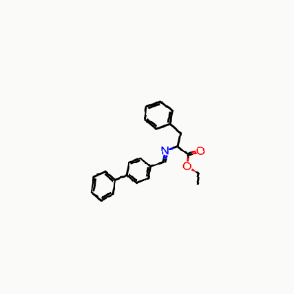 CCOC(=O)C(Cc1ccccc1)N=Cc1ccc(-c2ccccc2)cc1